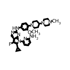 COc1cc(Nc2ncc3c(F)c(C4CC4)n(-c4cccc(N)n4)c3n2)ccc1N1CCC(N2CCN(C)CC2)CC1